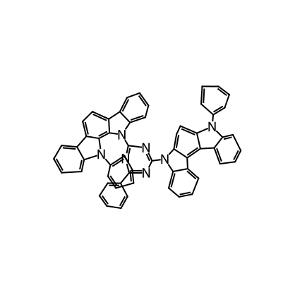 c1ccc(-c2nc(-n3c4ccccc4c4c5c6ccccc6n(-c6ccccc6)c5ccc43)nc(-n3c4ccccc4c4ccc5c6ccccc6n(-c6ccccc6)c5c43)n2)cc1